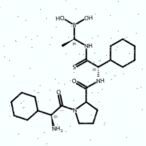 C[C@H](NC(=S)[C@@H](NC(=O)C1CCCN1C(=O)[C@@H](N)C1CCCCC1)C1CCCCC1)B(O)O